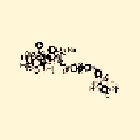 CC(=O)O[C@@]12CO[C@@H]1C[C@H](O)[C@@]1(C)C(=O)C(O)C3=C(C)[C@@H](OC(=O)[C@H](OC(=O)CCC(=O)N4CCN(S(=O)(=O)N5CCN(Cc6ccc(N(C(=N)c7cc(C(C)C)c(O)cc7O)C(N)=O)cc6)CC5)CC4)[C@@H](NC(=O)OC(C)(C)C)c4ccccc4)C[C@@](O)([C@@H](OC(=O)c4ccccc4)[C@H]21)C3(C)C